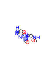 C=CC(=O)Nc1ccc(CNC(=O)C2(c3cccc4[nH]ncc34)C=NC=C(N3CCOCC3)N2)cc1